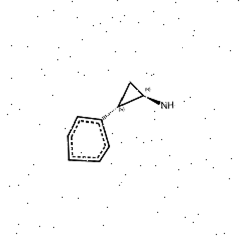 [NH][C@@H]1C[C@H]1c1ccccc1